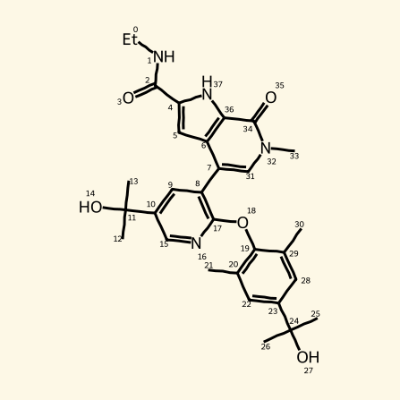 CCNC(=O)c1cc2c(-c3cc(C(C)(C)O)cnc3Oc3c(C)cc(C(C)(C)O)cc3C)cn(C)c(=O)c2[nH]1